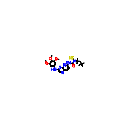 COc1cc(Nc2cnc3ccc(NC(=O)N(S)C(C)(C)CC(C)(C)C)nc3n2)cc(OC)c1OC